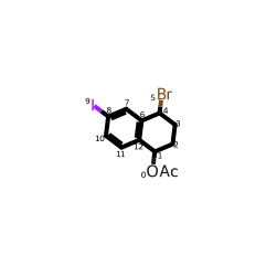 CC(=O)OC1CCC(Br)c2cc(I)ccc21